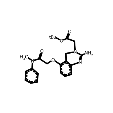 CN(C(=O)COc1cccc2c1CN(CC(=O)OC(C)(C)C)C(N)=N2)c1ccccc1